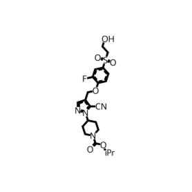 CC(C)OC(=O)N1CCC(n2ncc(COc3ccc(S(=O)(=O)CCO)cc3F)c2C#N)CC1